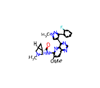 COc1cc2ncnc(-c3cn(C)nc3-c3ccccc3F)c2nc1NC(=O)[C@@]12C[C@@H]1CN(C)C2